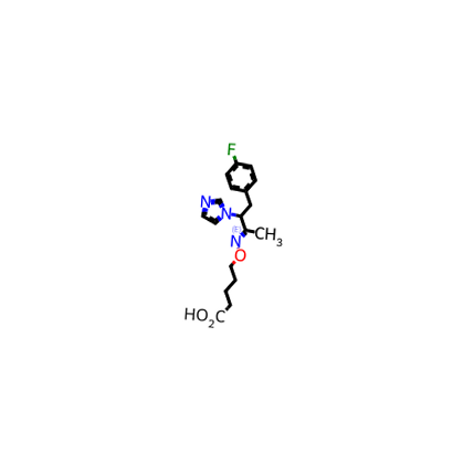 C/C(=N\OCCCCC(=O)O)C(Cc1ccc(F)cc1)n1ccnc1